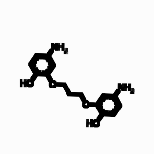 Nc1ccc(O)c(OCCCOc2cc(N)ccc2O)c1